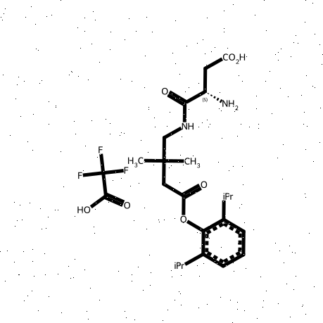 CC(C)c1cccc(C(C)C)c1OC(=O)CC(C)(C)CNC(=O)[C@@H](N)CC(=O)O.O=C(O)C(F)(F)F